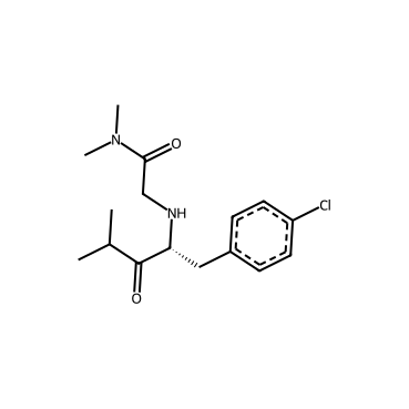 CC(C)C(=O)[C@@H](Cc1ccc(Cl)cc1)NCC(=O)N(C)C